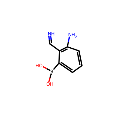 N=Cc1c(N)cccc1B(O)O